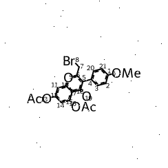 COc1ccc(-c2c(CBr)oc3cc(OC(C)=O)cc(OC(C)=O)c3c2=O)cc1